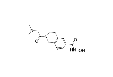 CN(C)CC(=O)N1CCc2cc(C(=O)NO)cnc2C1